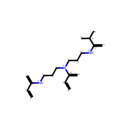 C=CC(=C)NCCCN(CCCNC(=C)C(C)C)C(=C)C=C